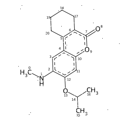 CNc1cc2c3c(c(=O)oc2cc1OC(C)C)CCCC3